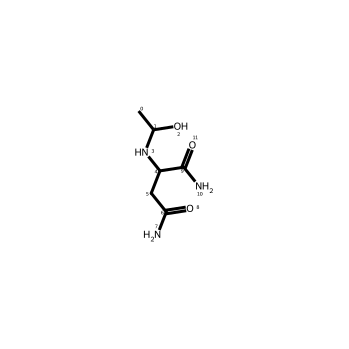 CC(O)NC(CC(N)=O)C(N)=O